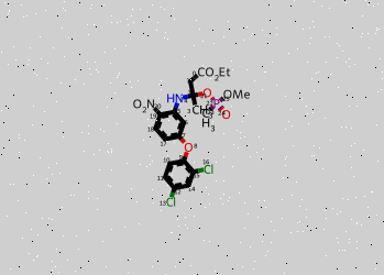 CCOC(=O)CC(C)(Nc1cc(Oc2ccc(Cl)cc2Cl)ccc1[N+](=O)[O-])OP(C)(=O)OC